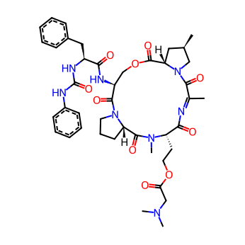 C/C1=N\C(=O)[C@H](CCOC(=O)CN(C)C)N(C)C(=O)[C@@H]2CCCN2C(=O)[C@@H](NC(=O)[C@H](Cc2ccccc2)NC(=O)Nc2ccccc2)COC(=O)[C@@H]2C[C@@H](C)CN2C1=O